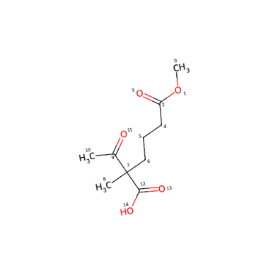 COC(=O)CCCC(C)(C(C)=O)C(=O)O